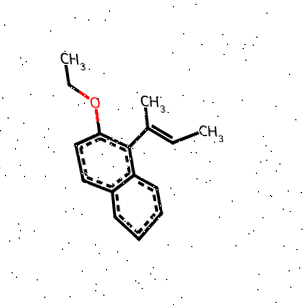 CC=C(C)c1c(OCC)ccc2ccccc12